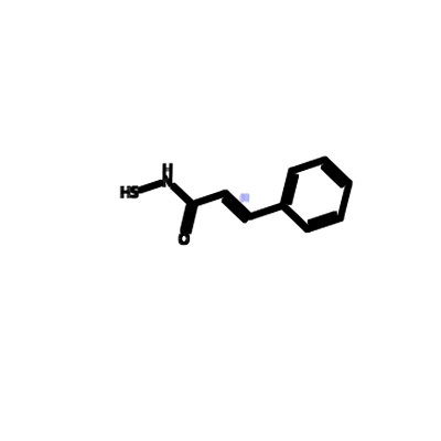 O=C(/C=C/c1ccccc1)NS